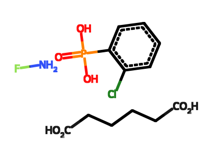 NF.O=C(O)CCCCC(=O)O.O=P(O)(O)c1ccccc1Cl